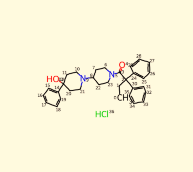 CCC(C(=O)N1CCC(N2CCC(O)(c3ccccc3)CC2)CC1)(c1ccccc1)c1ccccc1.Cl